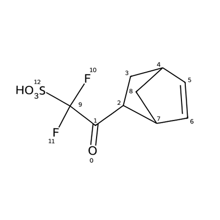 O=C(C1CC2C=CC1C2)C(F)(F)S(=O)(=O)O